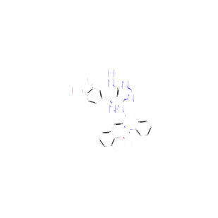 Cc1ccccc1-n1c(Cn2nc(-c3ccc(O)c(O)c3)c3c(N)ncnc32)cc2cccc(C)c2c1=O